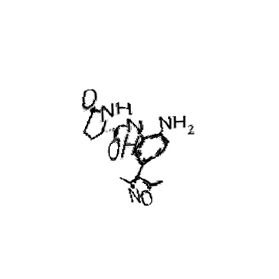 Cc1noc(C)c1-c1ccc(N)c(NC(=O)[C@@H]2CCC(=O)N2)c1